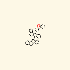 c1ccc2c(c1)ccc1c3ccccc3c(-c3c4ccccc4c(-c4ccc5oc6ccccc6c5c4)c4c3ccc3ccccc34)cc21